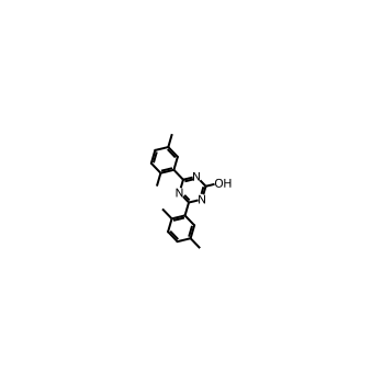 Cc1ccc(C)c(-c2nc(O)nc(-c3cc(C)ccc3C)n2)c1